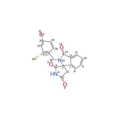 O=C1CC2(C(=O)N1)c1ccccc1C(=O)N2Cc1ccc(Br)cc1F